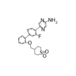 Nc1cnc(-c2ccc(-c3ccccc3OCC3CCS(=O)(=O)CC3)cc2F)cn1